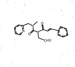 CN(Cc1ccccn1)C(=O)N(C[C]=O)C(=O)/C=C/c1ccccc1